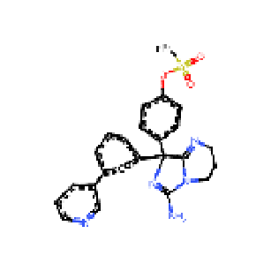 CCCS(=O)(=O)Oc1ccc(C2(c3cccc(-c4cccnc4)c3)N=C(N)N3CCCN=C32)cc1